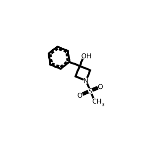 CS(=O)(=O)N1CC(O)(c2ccccc2)C1